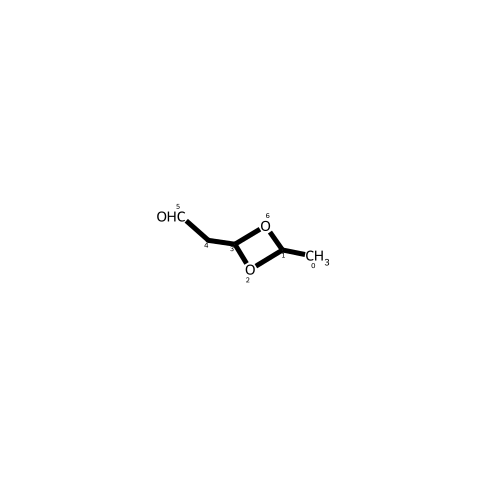 CC1OC(CC=O)O1